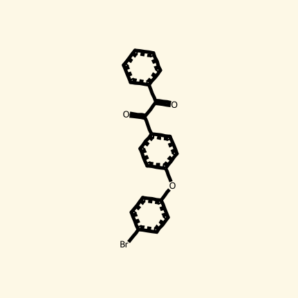 O=C(C(=O)c1ccc(Oc2ccc(Br)cc2)cc1)c1ccccc1